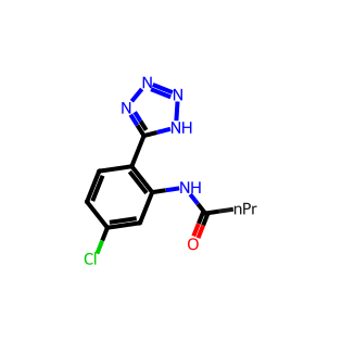 CCCC(=O)Nc1cc(Cl)ccc1-c1nnn[nH]1